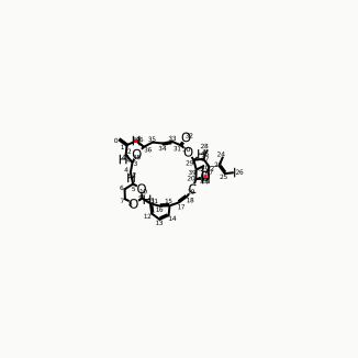 C=C1C[C@@H]2C[C@@H]3CCO[C@@H](O3)c3cccc(c3)C=CC[C@H]3O[C@@H](/C(C)=C/I)[C@H](C)[C@@H](OC(=O)/C=C/C[C@@H](C1)O2)[C@H]3C